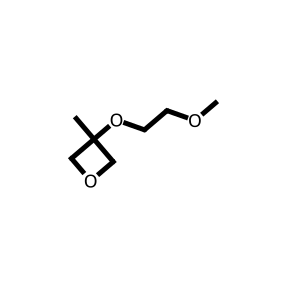 COCCOC1(C)COC1